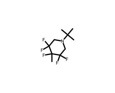 CC(C)(C)N1CC(F)(F)C(C)(F)C(F)(F)C1